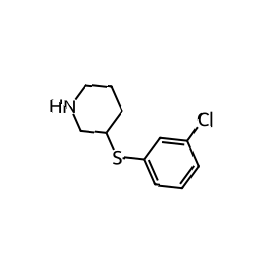 Clc1cccc(SC2CCCNC2)c1